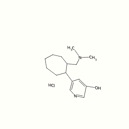 CN(C)CC1CCCCCC1c1cncc(O)c1.Cl